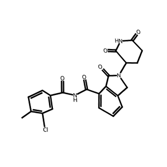 Cc1ccc(C(=O)NC(=O)c2cccc3c2C(=O)N(C2CCC(=O)NC2=O)C3)cc1Cl